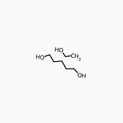 CCO.OCCCCCO